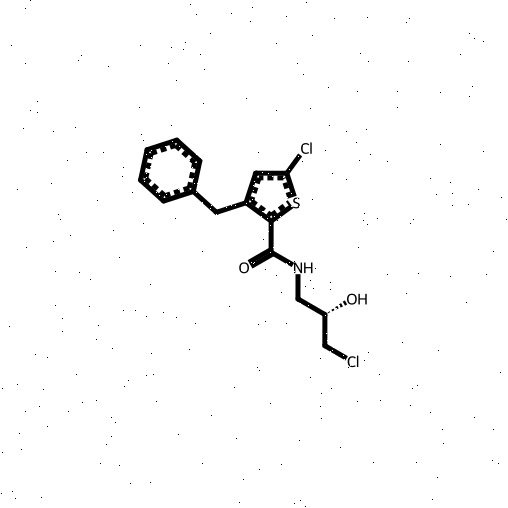 O=C(NC[C@H](O)CCl)c1sc(Cl)cc1Cc1ccccc1